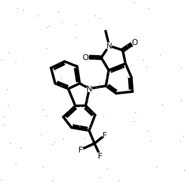 CN1C(=O)c2cccc(-n3c4ccccc4c4ccc(C(F)(F)F)cc43)c2C1=O